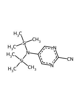 C[Si](C)(C)N(c1cnc(C#N)nc1)[Si](C)(C)C